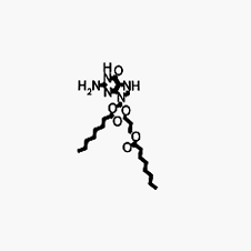 CCCCCCCC(=O)OCCCOC(OC(=O)CCCCCCC)N1CNc2c1nc(N)[nH]c2=O